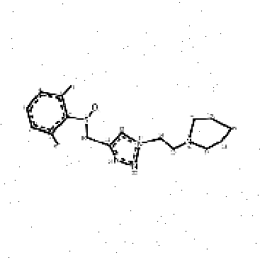 Cc1cccc(C)c1[S+]([O-])Cc1cn(CCN2CCCCC2)nn1